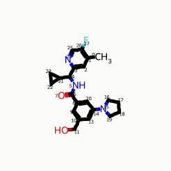 Cc1cc(C(NC(=O)c2cc(CO)cc(N3CCCC3)c2)C2CC2)ncc1F